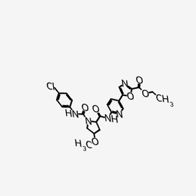 CCOC(=O)c1ncc(-c2ccc(NC(=O)C3CC(OC)CN3C(=O)Nc3ccc(Cl)cc3)nc2)o1